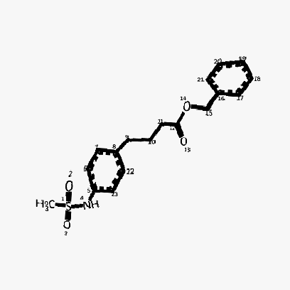 CS(=O)(=O)Nc1ccc(CCCC(=O)OCc2ccccc2)cc1